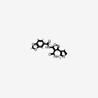 NC(=O)c1c(-c2ccsc2)noc1NC(=O)c1ccc2c(c1)OCO2